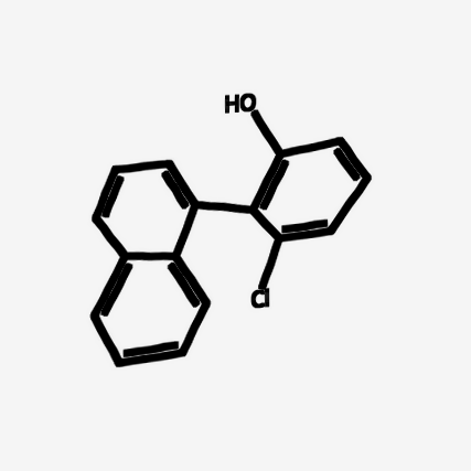 Oc1cccc(Cl)c1-c1cccc2ccccc12